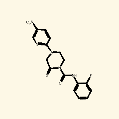 O=C1CN(c2ccc([N+](=O)[O-])cn2)CCN1C(=O)Nc1ccccc1F